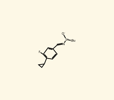 CC(C)(C)[S+]([O-])/N=C/c1ccc(C2CC2)c(F)c1